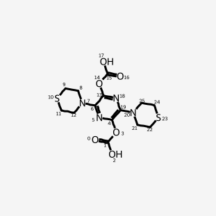 O=C(O)Oc1nc(N2CCSCC2)c(OC(=O)O)nc1N1CCSCC1